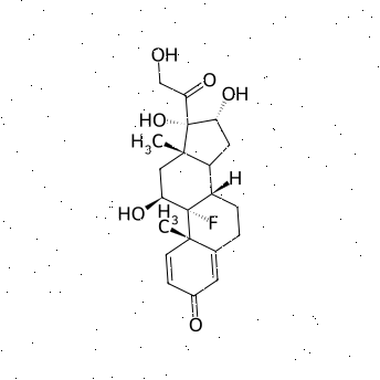 C[C@]12C=CC(=O)C=C1CC[C@H]1C3C[C@@H](O)[C@](O)(C(=O)CO)[C@@]3(C)C[C@H](O)[C@@]12F